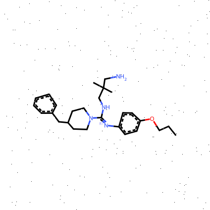 CCCOc1ccc(/N=C(\NCC(C)(C)CN)N2CCC(Cc3ccccc3)CC2)cc1